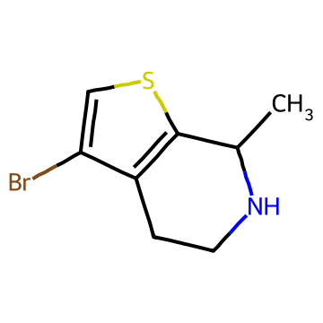 CC1NCCc2c(Br)csc21